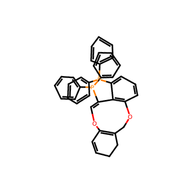 C1=CC2=C(CC1)COc1cccc(P(c3ccccc3)c3ccccc3)c1C(P(c1ccccc1)c1ccccc1)=CO2